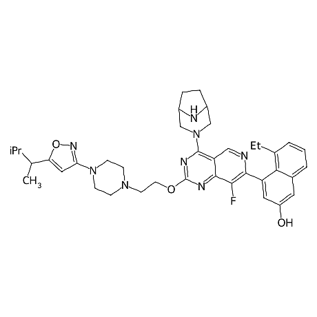 CCc1cccc2cc(O)cc(-c3ncc4c(N5CC6CCC(C5)N6)nc(OCCN5CCN(c6cc(C(C)C(C)C)on6)CC5)nc4c3F)c12